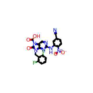 N#Cc1ccc([N+](=O)[O-])c(Nc2ncc3c(n2)n(Cc2c(F)cccc2F)c(=O)n3C(=O)O)c1